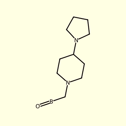 O=BCN1CCC(N2CCCC2)CC1